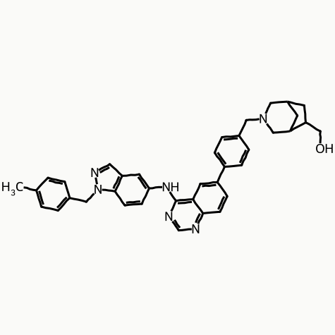 Cc1ccc(Cn2ncc3cc(Nc4ncnc5ccc(-c6ccc(CN7CC8CC(CO)C(C8)C7)cc6)cc45)ccc32)cc1